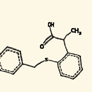 CC(C(=O)O)c1ccccc1SCc1ccccc1